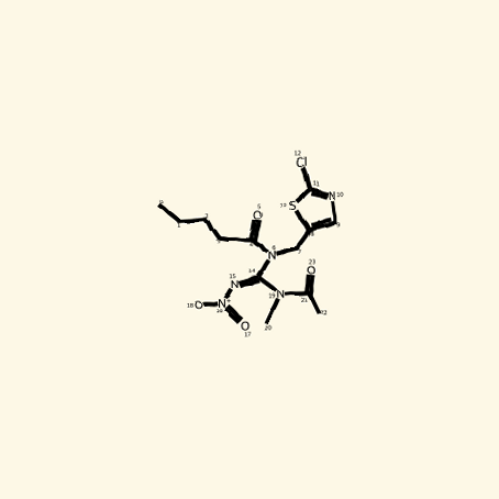 CCCCC(=O)N(Cc1cnc(Cl)s1)/C(=N/[N+](=O)[O-])N(C)C(C)=O